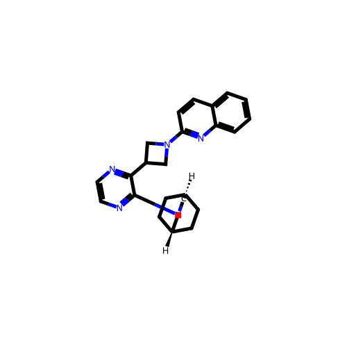 c1ccc2nc(N3CC(c4nccnc4N4C[C@H]5CC[C@@H](CC5)C4)C3)ccc2c1